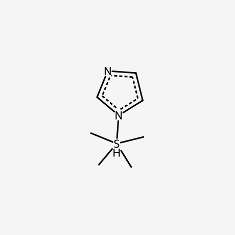 C[SH](C)(C)(C)n1ccnc1